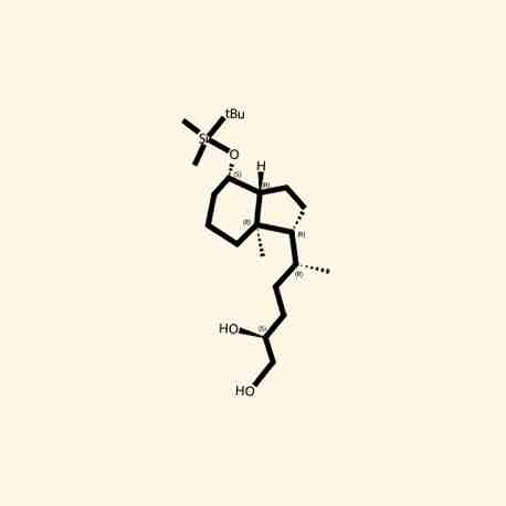 C[C@H](CC[C@H](O)CO)[C@H]1CC[C@H]2[C@@H](O[Si](C)(C)C(C)(C)C)CCC[C@]12C